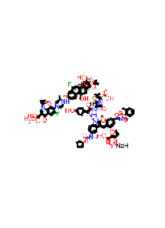 CC1(C)O[C@@H]2C[C@H]3[C@@H]4C[C@H](F)C5=CC(=O)C=C[C@]5(C)[C@H]4[C@@H](O)C[C@]3(C)[C@]2(C(=O)CO)O1.CC1(C)S[C@@H]2[C@H](NC(=O)[C@H](N)c3ccc(O)cc3)C(=O)N2[C@H]1C(=O)O.COc1c(N2CCNC(C)C2)c(F)cc2c(=O)c(C(=O)O)cn(C3CC3)c12.COc1cc(C(=O)NS(=O)(=O)c2ccccc2C)ccc1Cc1cn(C)c2ccc(NC(=O)OC3CCCC3)cc12.O.O.O.O=C(O)c1ccco1.[NaH]